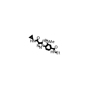 CCCc1c(C(=O)NC2CC2)nnn1-c1ccc(C(=O)NCC)cc1OC